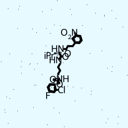 CC(C)C[C@H](NC(=O)CCc1cccc([N+](=O)[O-])c1)C(=O)NCCCCNS(=O)(=O)c1ccc(F)cc1Cl